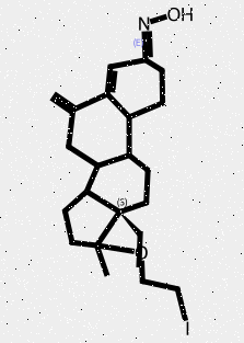 C=C1CC2C(CC[C@@]3(CC)C2CCC3(C)OCCI)C2CC/C(=N\O)C=C12